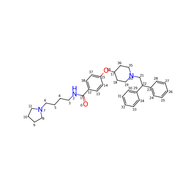 O=C(NCCCCN1CCCC1)c1ccc(OC2CCN(CC(c3ccccc3)c3ccccc3)CC2)cc1